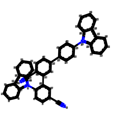 N#Cc1ccc(-n2c3ccccc3c3ccccc32)c(-c2cc(-c3ccc(-n4c5ccccc5c5ccccc54)cc3)ccc2C#N)c1